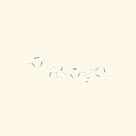 COc1ccc(CN2c3ccc(N4CCC(O)(C(=O)NCc5cc(F)cc(Cl)c5)C4=O)cc3CS2(=O)=O)cc1